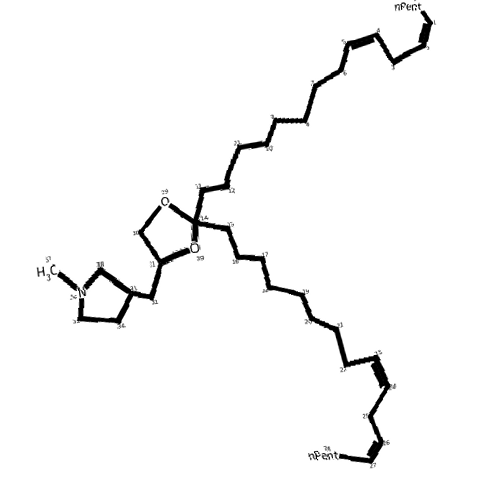 CCCCC/C=C\C/C=C\CCCCCCCCC1(CCCCCCCC/C=C\C/C=C\CCCCC)OCC(CC2CCN(C)C2)O1